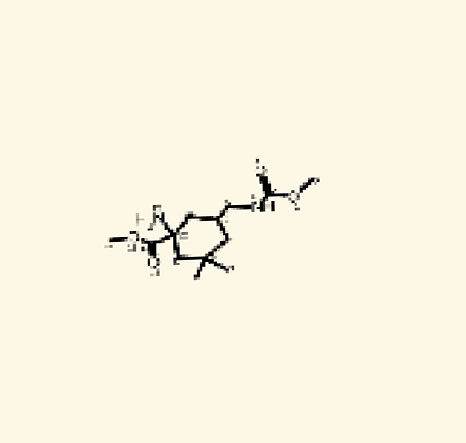 COC(=O)NCC1CC(C)(C)CC(N)(C(=O)OC)C1